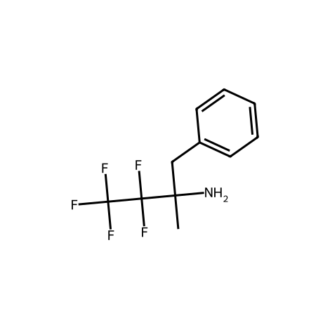 CC(N)(Cc1ccccc1)C(F)(F)C(F)(F)F